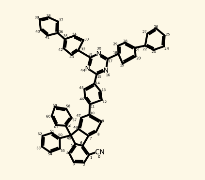 N#Cc1cccc2c1-c1ccc(-c3ccc(-c4nc(-c5ccc(-c6ccccc6)cc5)nc(-c5ccc(-c6ccccc6)cc5)n4)cc3)cc1C2(c1ccccc1)c1ccccc1